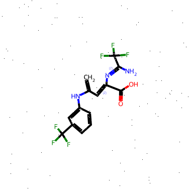 C=C(/C=C(\N=C(/N)C(F)(F)F)C(=O)O)Nc1cccc(C(F)(F)F)c1